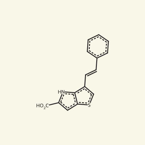 O=C(O)c1cc2scc(C=Cc3ccccc3)c2[nH]1